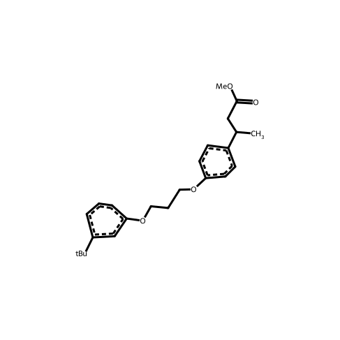 COC(=O)CC(C)c1ccc(OCCCOc2cccc(C(C)(C)C)c2)cc1